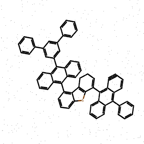 c1ccc2c(-c3ccccc3)c3ccccc3c(C3=CCCc4c3sc3cccc(-c5c6ccccc6c(-c6cc(-c7ccccc7)cc(-c7ccccc7)c6)c6ccccc56)c43)c2c#1